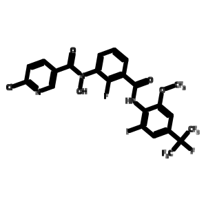 O=C(Nc1c(I)cc(C(F)(C(F)(F)F)C(F)(F)F)cc1OC(F)(F)F)c1cccc(N(O)C(=O)c2ccc(Cl)nc2)c1F